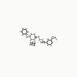 Cc1cccc(NCCCN2CCC(Cc3ccccc3)CC2)c1.Cl.Cl